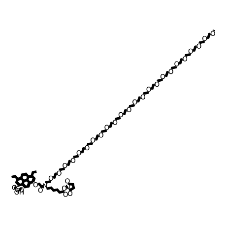 CCC1=C2C=CC3=C(CC)C=C(S(=O)(=O)O)C4=CC=C(C(OCC(=O)N(CCCCCC(=O)ON5C(=O)CCC5=O)CCOCCOCCOCCOCCOCCOCCOCCOCCOCCOCCOCCOCCOCCOCCOCCOCCOCCOCCOCCOCCOCCOCCOCCOC)=C1)C2C43